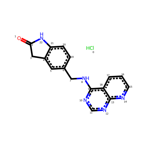 Cl.O=C1Cc2cc(CNc3ncnc4ncccc34)ccc2N1